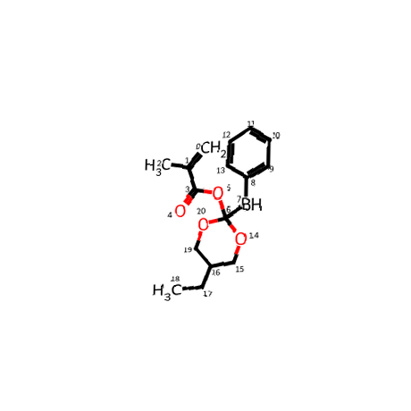 C=C(C)C(=O)OC1(Bc2ccccc2)OCC(CC)CO1